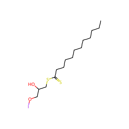 CCCCCCCCCCCC(=S)SCC(O)COI